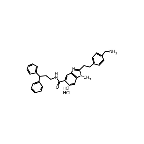 Cl.Cl.Cn1c(CCc2ccc(CN)cc2)nc2cc(C(=O)NCCC(c3ccccc3)c3ccccc3)ccc21